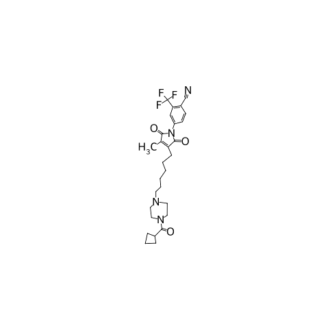 CC1=C(CCCCCCN2CCN(C(=O)C3CCC3)CC2)C(=O)N(c2ccc(C#N)c(C(F)(F)F)c2)C1=O